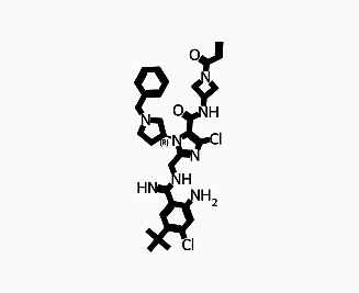 C=CC(=O)N1CC(NC(=O)c2c(Cl)nc(CNC(=N)c3cc(C(C)(C)C)c(Cl)cc3N)n2[C@@H]2CCN(Cc3ccccc3)C2)C1